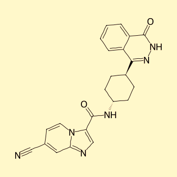 N#Cc1ccn2c(C(=O)N[C@H]3CC[C@H](c4n[nH]c(=O)c5ccccc54)CC3)cnc2c1